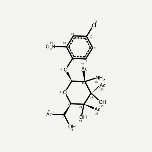 CC(=O)C(O)[C@H]1O[C@@H](Oc2ccc(Cl)cc2[N+](=O)[O-])[C@@](N)(C(C)=O)[C@](O)(C(C)=O)[C@@]1(O)C(C)=O